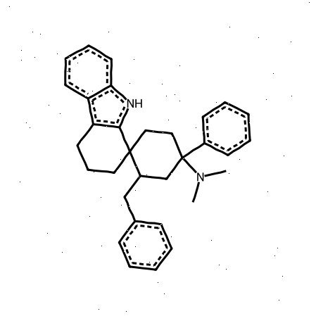 CN(C)C1(c2ccccc2)CCC2(CCCc3c2[nH]c2ccccc32)C(Cc2ccccc2)C1